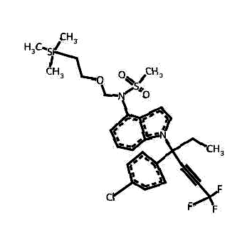 CCC(C#CC(F)(F)F)(c1ccc(Cl)cc1)n1ccc2c(N(COCC[Si](C)(C)C)S(C)(=O)=O)cccc21